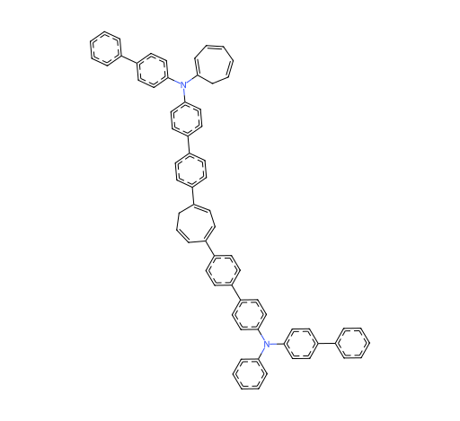 C1=CC=C(N(c2ccc(-c3ccccc3)cc2)c2ccc(-c3ccc(C4=CC=C(c5ccc(-c6ccc(N(c7ccccc7)c7ccc(-c8ccccc8)cc7)cc6)cc5)C=CC4)cc3)cc2)CC=C1